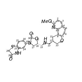 COc1ccc2ccc3c(c2n1)C[C@H](CNC[C@@H]1CN(c2ccc4c(c2)NC(=O)CS4)C(=O)O1)CO3